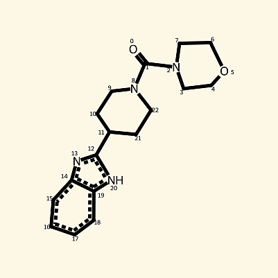 O=C(N1CCOCC1)N1CCC(c2nc3ccccc3[nH]2)CC1